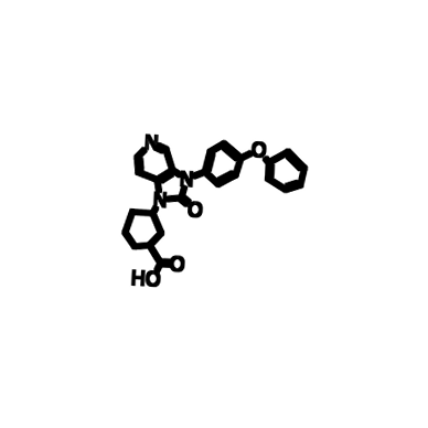 O=C(O)C1CCCC(n2c(=O)n(-c3ccc(Oc4ccccc4)cc3)c3cnccc32)C1